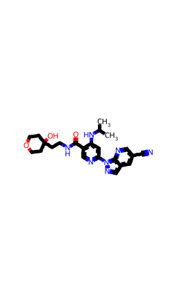 CC(C)Nc1cc(-n2ncc3cc(C#N)cnc32)ncc1C(=O)NCCC1(O)CCOCC1